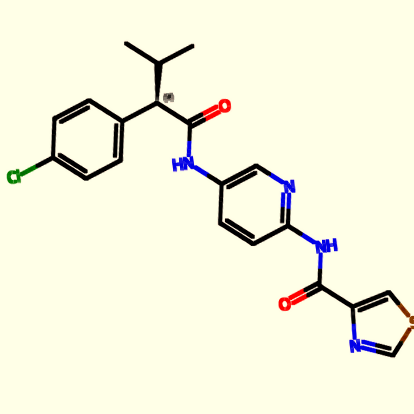 CC(C)[C@@H](C(=O)Nc1ccc(NC(=O)c2cscn2)nc1)c1ccc(Cl)cc1